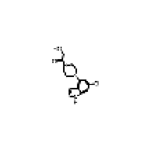 O=C(CO)N1CCN(c2cc(Cl)cc3[nH]ncc23)CC1